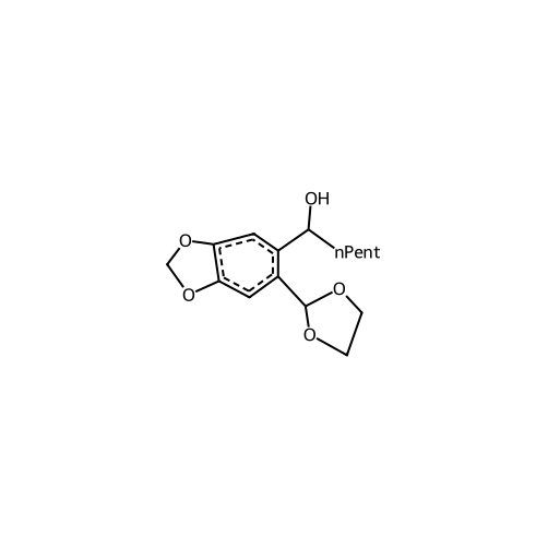 CCCCCC(O)c1cc2c(cc1C1OCCO1)OCO2